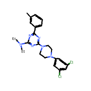 CCN(CC)c1nc(-c2cccc(C)c2)nc(N2CCN(c3cc(Cl)cc(Cl)c3)CC2)n1